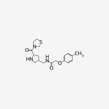 Cc1ccc(OCC(=O)NCC2CNC(C(=O)N3CCSC3)C2)cc1